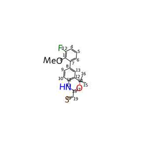 COc1c(F)cccc1-c1ccc2c(c1)C(C)(C)OC(C=S)N2